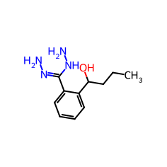 CCCC(O)c1ccccc1/C(=N/N)NN